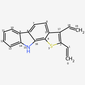 C=Cc1sc2c(ccc3c4ccccc4[nH]c32)c1C=C